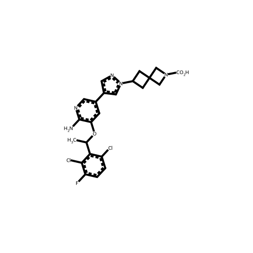 CC(Oc1cc(-c2cnn(C3CC4(C3)CN(C(=O)O)C4)c2)cnc1N)c1c(Cl)ccc(F)c1Cl